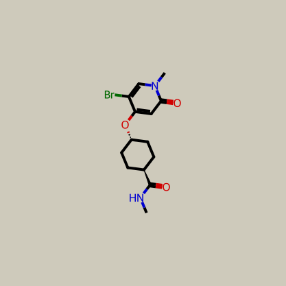 CNC(=O)[C@H]1CC[C@H](Oc2cc(=O)n(C)cc2Br)CC1